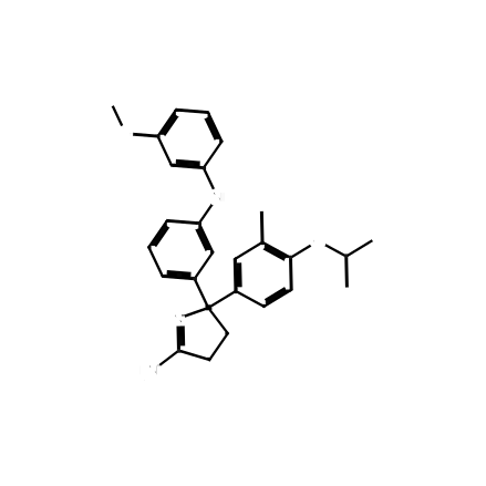 COc1cccc(Nc2cccc(C3(c4ccc(OC(C)C)c(C)c4)CCC(N)=N3)c2)c1